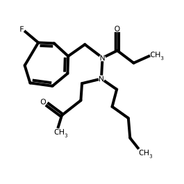 CCCCCN(CCC(C)=O)N(CC1=CC=CCC(F)=C1)C(=O)CC